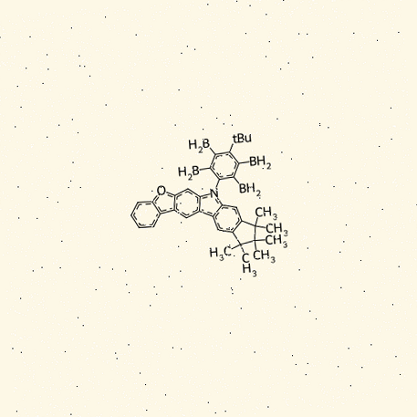 Bc1c(B)c(C(C)(C)C)c(B)c(B)c1-n1c2cc3c(cc2c2cc4c(cc21)oc1ccccc14)C(C)(C)C(C)(C)C3(C)C